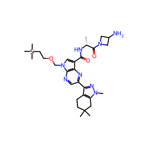 C[C@@H](NC(=O)c1cn(COCC[Si](C)(C)C)c2ncc(-c3nn(C)c4c3CCC(C)(C)C4)nc12)C(=O)N1CC(N)C1